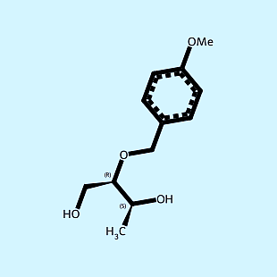 COc1ccc(CO[C@H](CO)[C@H](C)O)cc1